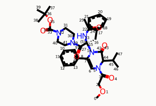 COCC(=O)N1C=C(c2ccccc2)N([C@](Cc2ccccc2)(NC(C)=O)C(=O)N2CCN(C(=O)OC(C)(C)C)CC2)C(=O)C1C(C)C